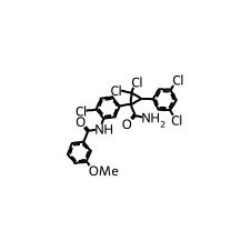 COc1cccc(C(=O)Nc2cc(C3(C(N)=O)C(c4cc(Cl)cc(Cl)c4)C3(Cl)Cl)ccc2Cl)c1